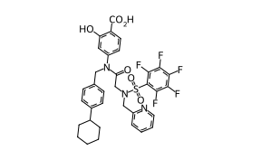 O=C(O)c1ccc(N(Cc2ccc(C3CCCCC3)cc2)C(=O)CN(Cc2ccccn2)S(=O)(=O)c2c(F)c(F)c(F)c(F)c2F)cc1O